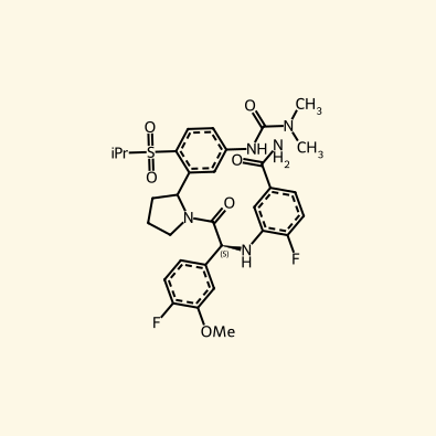 COc1cc([C@H](Nc2cc(C(N)=O)ccc2F)C(=O)N2CCCC2c2cc(NC(=O)N(C)C)ccc2S(=O)(=O)C(C)C)ccc1F